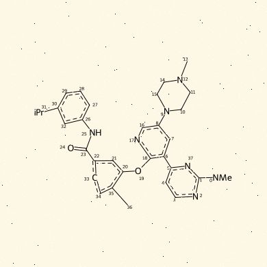 CNc1nccc(-c2cc(N3CCN(C)CC3)cnc2Oc2cc(C(=O)Nc3cccc(C(C)C)c3)ccc2C)n1